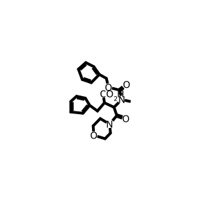 CN(C(=O)OCc1ccccc1)C(C(=O)N1CCOCC1)C(Cc1ccccc1)C(=O)O